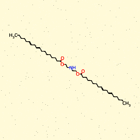 CCCCCC=CCC=CCCCCCCCC(=O)OCCNCCOC(=O)CCCCCCCC=CCC=CCCCCC